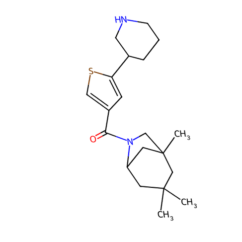 CC1(C)CC2CC(C)(CN2C(=O)c2csc(C3CCCNC3)c2)C1